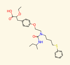 CCOC(Cc1ccc(OCCN(CCCCSc2ccccc2)C(=O)NC(C)CC)cc1)C(=O)O